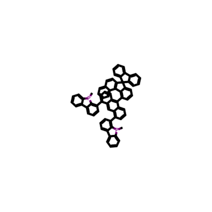 Cp1c2ccccc2c2cccc(-c3cccc4c(-c5cccc6c5-c5c(ccc7ccccc57)C65c6ccccc6-c6ccccc65)c5cccc(-c6cccc7c8ccccc8p(C)c67)c5cc34)c21